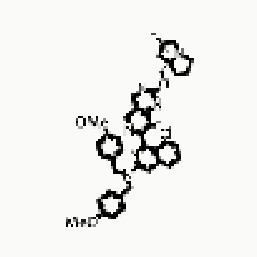 COc1ccc(CN(Cc2ccc(OC)cc2)c2cc3cccc(Cl)c3c(-c3ncc4cnc(OC[C@@]56CCCN5C[C@H](F)C6)nc4c3F)n2)cc1